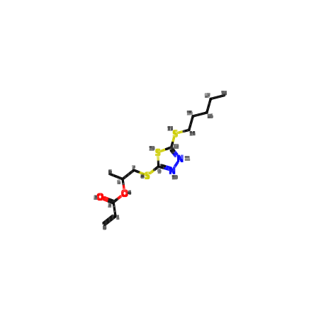 C=CC(=O)OC(C)CSc1nnc(SCCCCC)s1